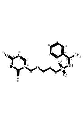 C[C@@H](NS(=O)(=O)CCCOCn1cnc(=O)[nH]c1=O)c1ccccc1